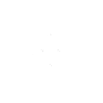 CC(C)[C@H]1COC(=O)N1c1nccc(Cl)n1